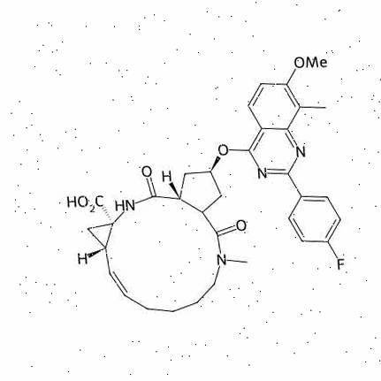 COc1ccc2c(O[C@H]3CC4C(=O)N(C)CCCC/C=C\[C@@H]5C[C@@]5(C(=O)O)NC(=O)[C@@H]4C3)nc(-c3ccc(F)cc3)nc2c1C